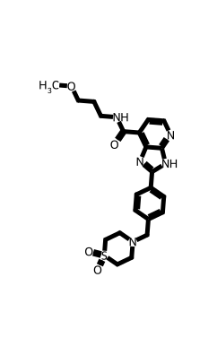 COCCCNC(=O)c1ccnc2[nH]c(-c3ccc(CN4CCS(=O)(=O)CC4)cc3)nc12